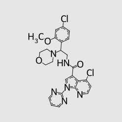 COc1cc(Cl)ccc1C(CNC(=O)c1cn(-c2ncccn2)c2nccc(Cl)c12)N1CCOCC1